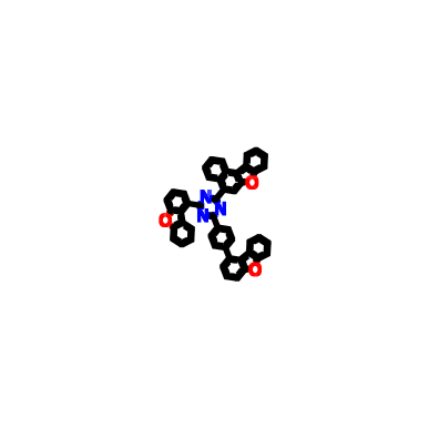 c1ccc2c(c1)oc1cccc(-c3ccc(-c4nc(-c5cc6oc7ccccc7c6c6ccccc56)nc(-c5cccc6oc7ccccc7c56)n4)cc3)c12